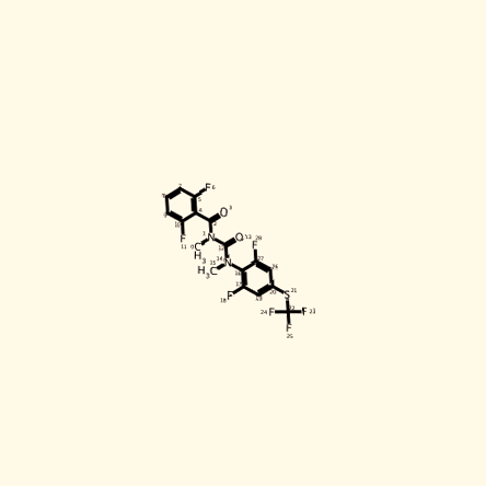 CN(C(=O)c1c(F)cccc1F)C(=O)N(C)c1c(F)cc(SC(F)(F)F)cc1F